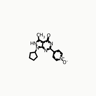 Cc1[nH]n(C2CCCC2)c2nc(-c3cc[n+]([O-])cc3)nc(=O)c1-2